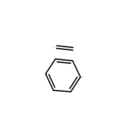 [CH]=C.[c]1ccccc1